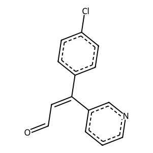 O=CC=C(c1ccc(Cl)cc1)c1cccnc1